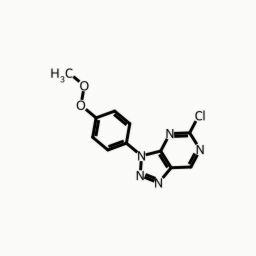 COOc1ccc(-n2nnc3cnc(Cl)nc32)cc1